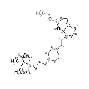 CCOc1ccc2nccc(C=CC3CCC(CCO[Si](CC)(CC)C(C)(C)C)CC3)c2n1